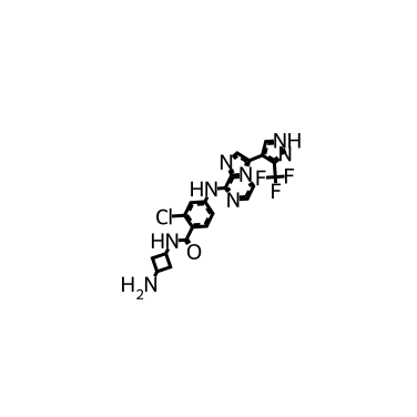 NC1CC(NC(=O)c2ccc(Nc3nccn4c(-c5c[nH]nc5C(F)(F)F)cnc34)cc2Cl)C1